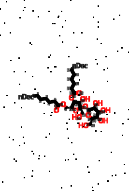 CCCCCCCCCCCCCCCC(=O)OC[C@H]1O[C@@](CO)(O[C@H]2O[C@H](CO)[C@@H](O)[C@H](O)[C@H]2O)[C@@H](O)[C@@H]1OC(=O)CCCCCCCCCCCCCCC